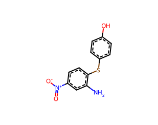 Nc1cc([N+](=O)[O-])ccc1Sc1ccc(O)cc1